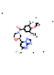 Cc1cc(C2CN(C(=O)c3cc(C)c(OC(C)C)c(C)c3)CCO2)n2ncnc2n1